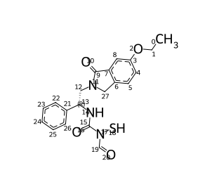 CCOc1ccc2c(c1)C(=O)N(C[C@H](NC(=O)N(S)C=O)c1ccccc1)C2